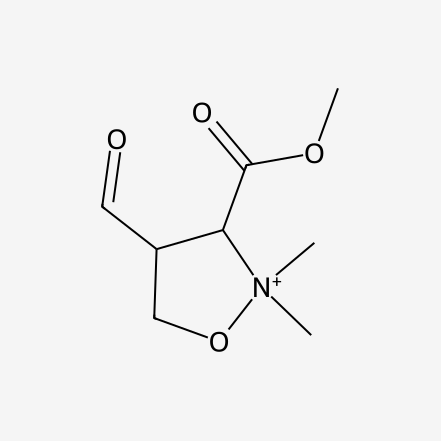 COC(=O)C1C(C=O)CO[N+]1(C)C